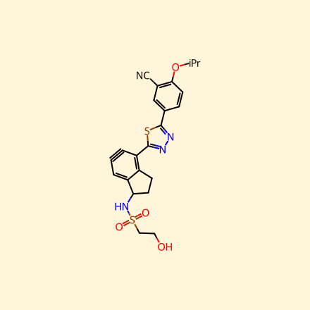 CC(C)Oc1ccc(-c2nnc(-c3c#ccc4c3CCC4NS(=O)(=O)CCO)s2)cc1C#N